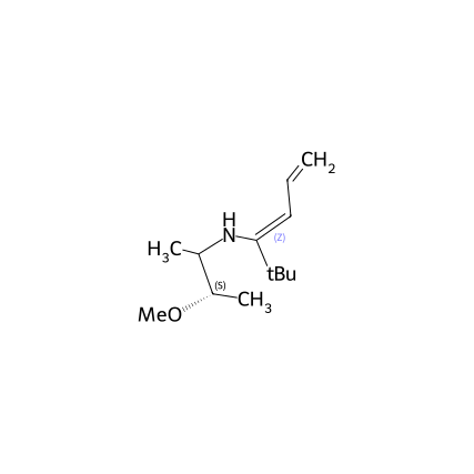 C=C/C=C(\NC(C)[C@H](C)OC)C(C)(C)C